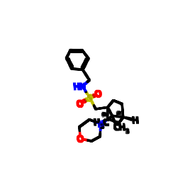 CC1(C)[C@@H]2CCC1(CS(=O)(=O)NCc1ccccc1)[C@H](N1CCOCC1)C2